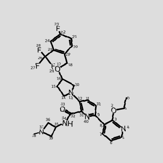 CCOc1ncccc1-c1ccc(N2CCC(OCc3ccc(F)cc3C(F)(F)F)C2)c(C(=O)NC2CN(C)C2)n1